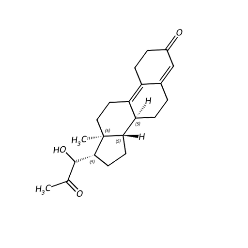 CC(=O)C(O)[C@H]1CC[C@H]2[C@@H]3CCC4=CC(=O)CCC4=C3CC[C@]12C